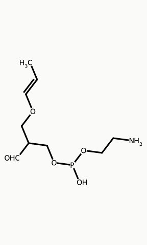 C/C=C/OCC(C=O)COP(O)OCCN